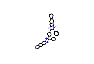 c1ccc(-c2nc3cc4cc5ccccc5cc4cc3nc2-c2ccc(-c3nc4cc5cc6ccccc6cc5cc4nc3-c3ccccc3)cc2)cc1